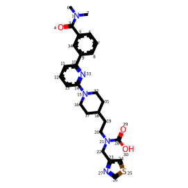 CN(C)C(=O)c1cccc(-c2cccc(N3CCC(CCN(Cc4cscn4)C(=O)O)CC3)n2)c1